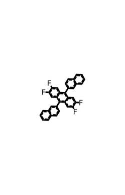 Fc1cc2c(-c3ccc4ccccc4c3)c3cc(F)c(F)cc3c(-c3ccc4ccccc4c3)c2cc1F